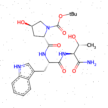 C[C@@H](O)[C@H](NC(=O)[C@H](Cc1c[nH]c2ccccc12)NC(=O)[C@@H]1C[C@@H](O)CN1C(=O)OC(C)(C)C)C(N)=O